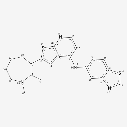 CC1C(c2cc3c(Nc4ccc5scnc5c4)ccnc3s2)CCCCN1C